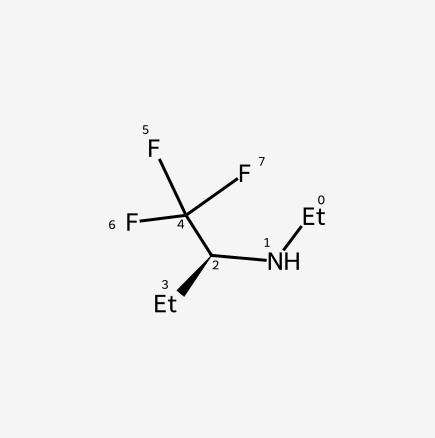 CCN[C@@H](CC)C(F)(F)F